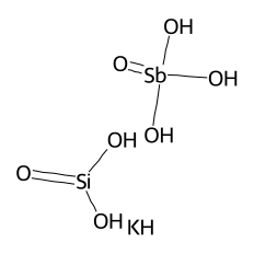 O=[Si](O)O.[KH].[O]=[Sb]([OH])([OH])[OH]